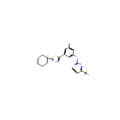 Cc1cc(Nc2nccc(C(F)(F)C(F)(F)F)n2)cc(-c2cnc([C@]3(O)CC[C@H](C(=O)O)CC3)s2)c1